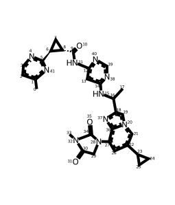 Cc1ccnc([C@H]2C[C@@H]2C(=O)Nc2cc(NC(C)c3cn4cc(C5CC5)cc(N5CC(=O)N(C)C5=O)c4n3)ncn2)n1